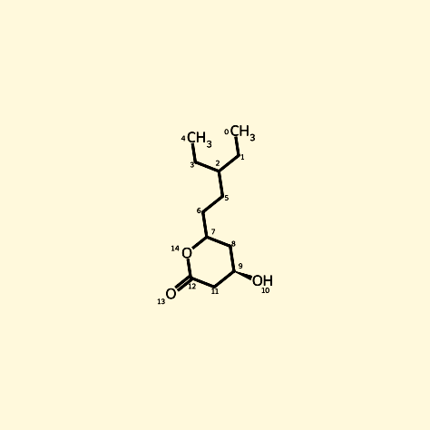 CCC(CC)CCC1C[C@@H](O)CC(=O)O1